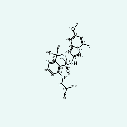 COc1cc(C)n2nc(NS(=O)(=O)c3c(OCC(F)F)cccc3C(F)(F)F)nc2n1